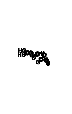 COc1ccc(C2(c3ccc(OC)cc3)CCCN(Cc3ccc(C(=O)N4CCc5cc(O)c(O)cc5C4C)cc3)C2)cc1